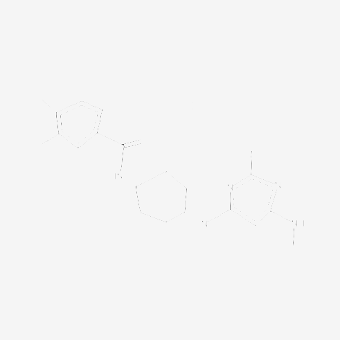 CNc1cc(N[C@H]2CC[C@@H](NC(=O)c3ccc(F)c(F)c3)CC2)nc(C)n1.Cl